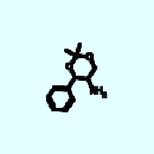 CC1(C)OCC(N)C(c2ccccc2)O1